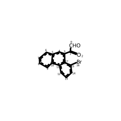 O=CC(=O)c1cc2ccccc2c2cccc(Br)c12